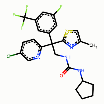 Cc1csc(C(CNC(=O)NC2CCCC2)(c2cc(F)cc(C(F)(F)F)c2)c2ccc(Cl)cn2)n1